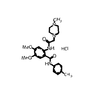 COc1cc(NC(=O)CN2CCN(C)CC2)c(C(=O)Nc2ccc(C)cc2)cc1OC.Cl